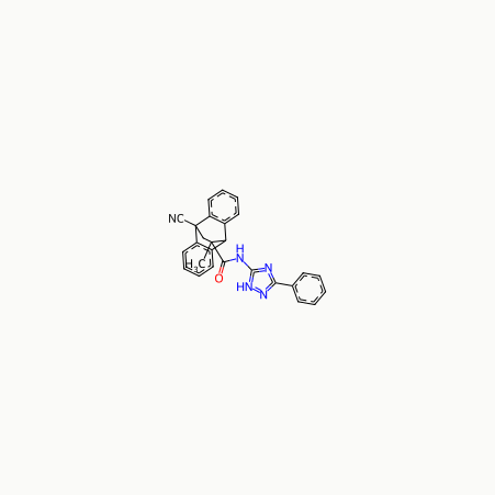 CC1(C(=O)Nc2nc(-c3ccccc3)n[nH]2)CC2(C#N)c3ccccc3C1c1ccccc12